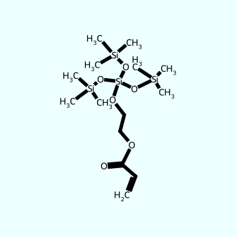 C=CC(=O)OCCO[Si](O[Si](C)(C)C)(O[Si](C)(C)C)O[Si](C)(C)C